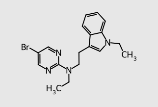 CCN(CCc1cn(CC)c2ccccc12)c1ncc(Br)cn1